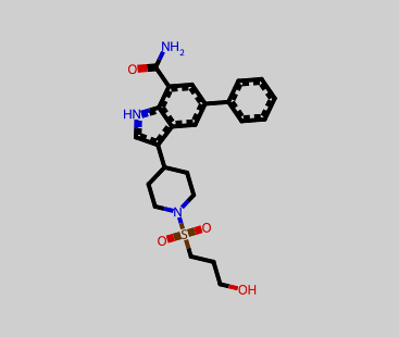 NC(=O)c1cc(-c2ccccc2)cc2c(C3CCN(S(=O)(=O)CCCO)CC3)c[nH]c12